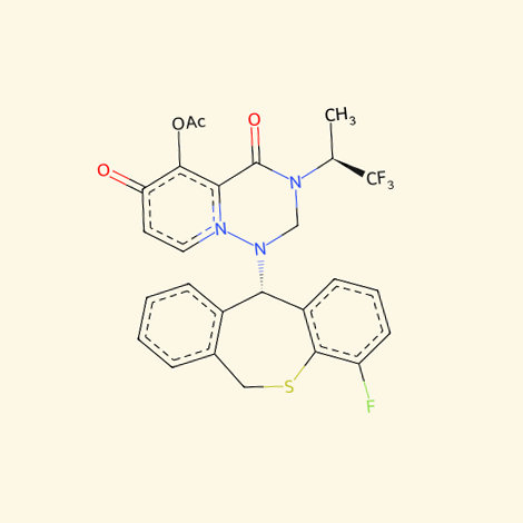 CC(=O)Oc1c2n(ccc1=O)N([C@H]1c3ccccc3CSc3c(F)cccc31)CN([C@@H](C)C(F)(F)F)C2=O